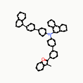 Cc1c(-c2cccc(-c3ccc(N(c4ccc(-c5ccc(-c6cccc7ccccc67)cc5)cc4)c4cc5ccccc5c5ccccc45)cc3)c2)oc2ccccc12